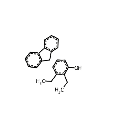 CCc1cccc(O)c1CC.c1ccc2c(c1)Cc1ccccc1-2